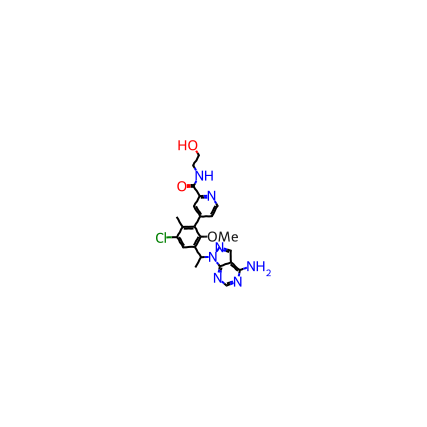 COc1c(C(C)n2ncc3c(N)ncnc32)cc(Cl)c(C)c1-c1ccnc(C(=O)NCCO)c1